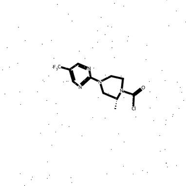 C[C@@H]1CN(c2ncc(C(F)(F)F)cn2)CCN1C(=O)Cl